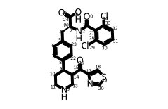 O=C(N[C@@H](Cc1ccc(C2CCNCC2C(=O)c2cscn2)cc1)C(=O)O)c1c(Cl)cccc1Cl